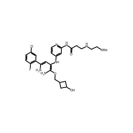 CNCCNCCC(=O)Nc1cc(NC(/C=C(\N)c2cc(Cl)ccc2F)=C(/N)OCC2CC(O)C2)ccn1